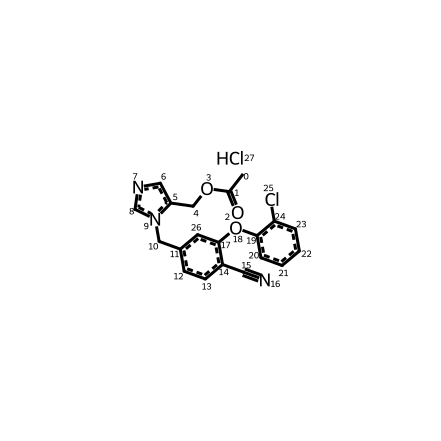 CC(=O)OCc1cncn1Cc1ccc(C#N)c(Oc2ccccc2Cl)c1.Cl